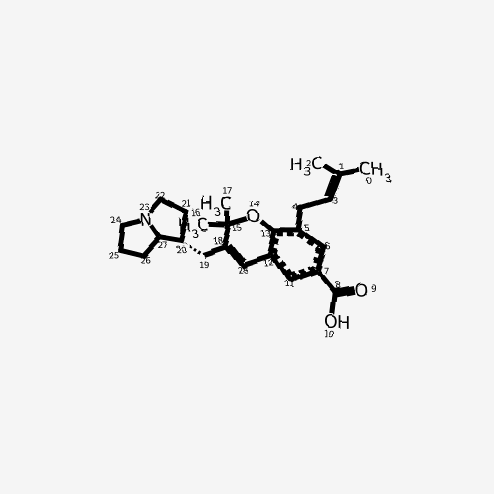 CC(C)=CCc1cc(C(=O)O)cc2c1OC(C)(C)C(C[C@H]1CCN3CCCC13)=C2